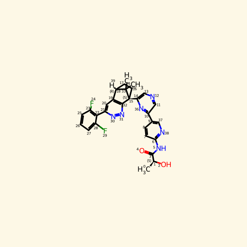 C[C@H](O)C(=O)Nc1ccc(-c2cncc([C@@]34CC[C@@H](c5cc(-c6c(F)cccc6F)nnc53)C4(C)C)n2)cn1